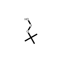 CC(C)(C)OSO